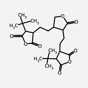 CC(C)(C)C1C(=O)OC(=O)C1CCC1COC(=O)C1CCC1C(=O)OC(=O)C1C(C)(C)C